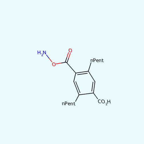 CCCCCc1cc(C(=O)ON)c(CCCCC)cc1C(=O)O